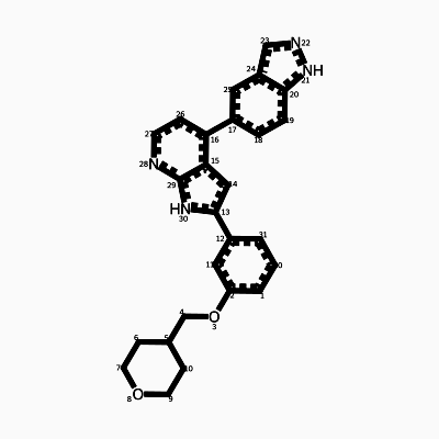 c1cc(OCC2CCOCC2)cc(-c2cc3c(-c4ccc5[nH]ncc5c4)ccnc3[nH]2)c1